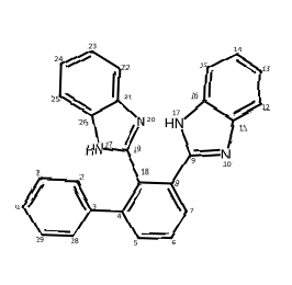 c1ccc(-c2cccc(-c3nc4ccccc4[nH]3)c2-c2nc3ccccc3[nH]2)cc1